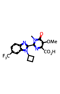 COc1c(C(=O)O)nc(-c2nc3ccc(C(F)(F)F)cc3n2C2CCC2)n(C)c1=O